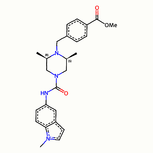 COC(=O)c1ccc(CN2[C@H](C)CN(C(=O)Nc3ccc4c(ccn4C)c3)C[C@@H]2C)cc1